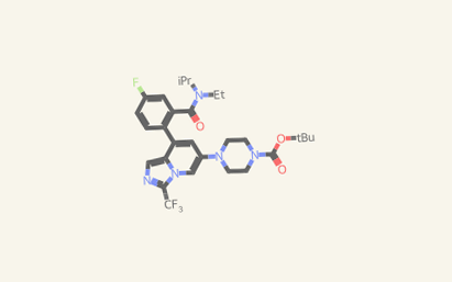 CCN(C(=O)c1cc(F)ccc1-c1cc(N2CCN(C(=O)OC(C)(C)C)CC2)cn2c(C(F)(F)F)ncc12)C(C)C